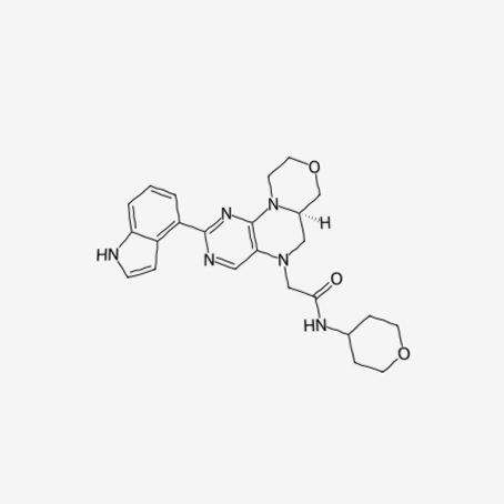 O=C(CN1C[C@@H]2COCCN2c2nc(-c3cccc4[nH]ccc34)ncc21)NC1CCOCC1